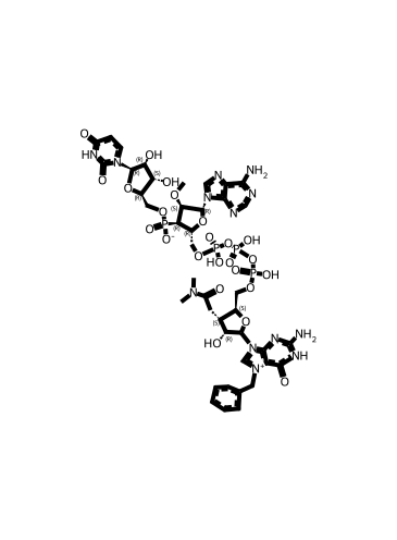 CO[C@@H]1[C@H](P(=O)([O-])OC[C@H]2O[C@@H](n3ccc(=O)[nH]c3=O)[C@H](O)[C@@H]2O)[C@@H](COP(=O)(O)OP(=O)(O)OP(=O)(O)OC[C@H]2OC(n3c[n+](Cc4ccccc4)c4c(=O)[nH]c(N)nc43)[C@H](O)[C@@H]2CC(=O)N(C)C)O[C@H]1n1cnc2c(N)ncnc21